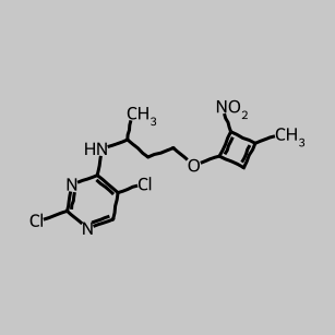 CC1=CC(OCCC(C)Nc2nc(Cl)ncc2Cl)=C1[N+](=O)[O-]